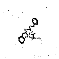 COC(=O)C(C)OP(=O)(OC)C(Cc1ccccc1)NC(=O)OCc1ccccc1